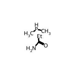 CCC(N)=O.CPC